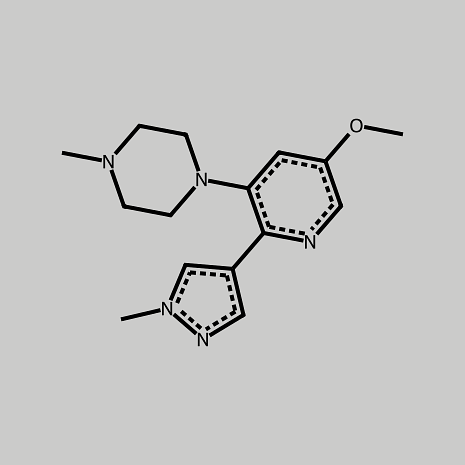 COc1cnc(-c2cnn(C)c2)c(N2CCN(C)CC2)c1